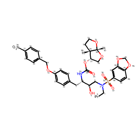 CC(C)CN(C[C@@H](O)[C@H](Cc1ccc(OCc2ccc([N+](=O)[O-])cc2)cc1)NC(=O)O[C@H]1CO[C@H]2OCC[C@H]21)S(=O)(=O)c1ccc2c(c1)OCO2